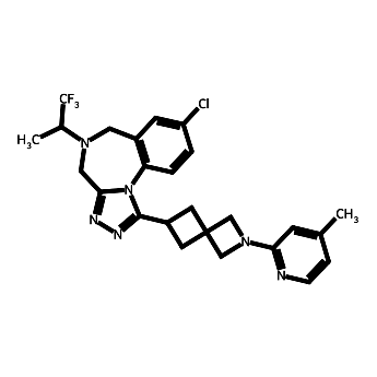 Cc1ccnc(N2CC3(CC(c4nnc5n4-c4ccc(Cl)cc4CN(C(C)C(F)(F)F)C5)C3)C2)c1